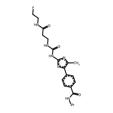 Cc1nc(NC(=O)NCCC(=O)NCCF)sc1-c1ccc(C(=O)NC(C)C)cc1